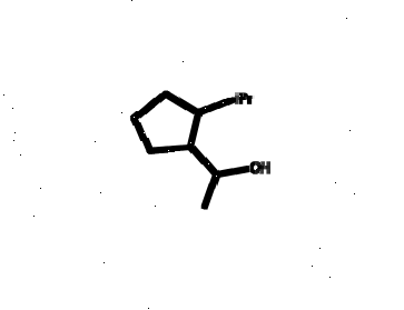 CC(C)C1CCCC1C(C)O